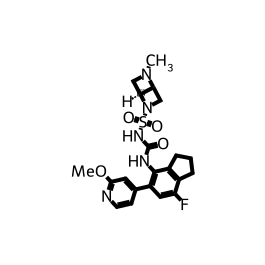 COc1cc(-c2cc(F)c3c(c2NC(=O)NS(=O)(=O)N2CC4[C@@H]2CN4C)CCC3)ccn1